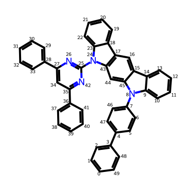 c1ccc(-c2ccc(-n3c4ccccc4c4cc5c6ccccc6n(-c6nc(-c7ccccc7)cc(-c7ccccc7)n6)c5cc43)cc2)cc1